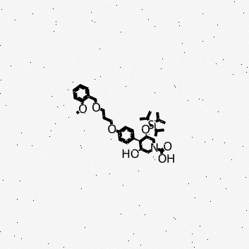 COc1ccccc1COCCCOc1ccc([C@@H]2[C@@H](O)CN(C(=O)O)C[C@H]2O[Si](C(C)C)(C(C)C)C(C)C)cc1